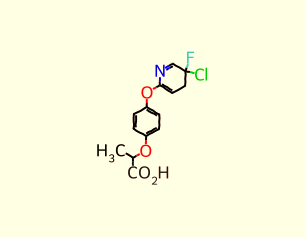 CC(Oc1ccc(OC2=CCC(F)(Cl)C=N2)cc1)C(=O)O